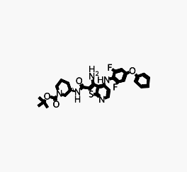 CC(C)(C)OC(=O)N1CCC[C@@H](NC(=O)c2sc3nccc(Nc4c(F)cc(Oc5ccccc5)cc4F)c3c2N)C1